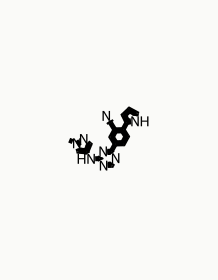 Cn1cc(Nc2ncnc(-c3ccc(-c4ccc[nH]4)c(C#N)c3)n2)cn1